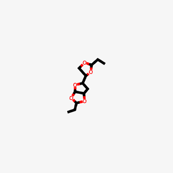 CCC1OCC(C2CC3OC(CC)OC3O2)O1